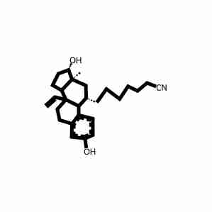 C=CC12CCc3cc(O)ccc3C1[C@@H](CCCCCCC#N)C[C@@]1(C)C2CC[C@@H]1O